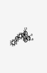 CCCC(C(=O)OCC)(C(=O)OCC)C(C)c1cccc(OCc2ccccc2)c1